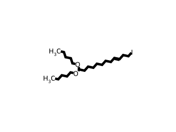 CCCCCOC(CCCCCCC/C=C/CCI)OCCCCC